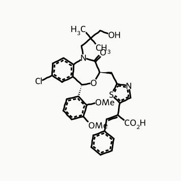 COc1cccc([C@H]2O[C@H](Cc3ncc(C(=Cc4ccccc4)C(=O)O)s3)C(=O)N(CC(C)(C)CO)c3ccc(Cl)cc32)c1OC